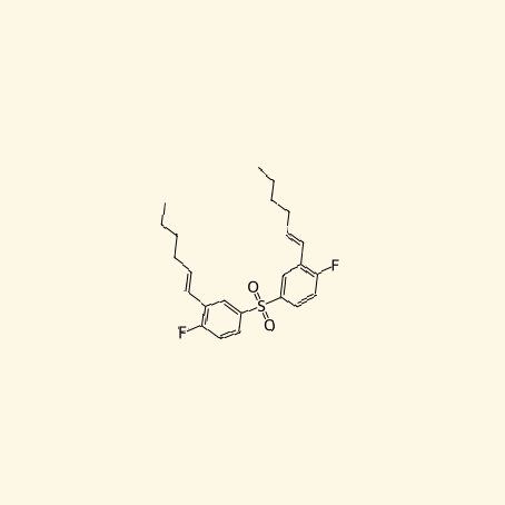 CCCCC=Cc1cc(S(=O)(=O)c2ccc(F)c(C=CCCCC)c2)ccc1F